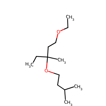 CCOCCC(C)(CC)OCCC(C)C